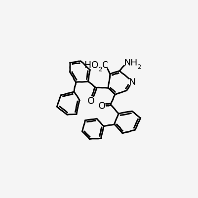 Nc1ncc(C(=O)c2ccccc2-c2ccccc2)c(C(=O)c2ccccc2-c2ccccc2)c1C(=O)O